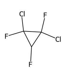 FC1C(F)(Cl)C1(F)Cl